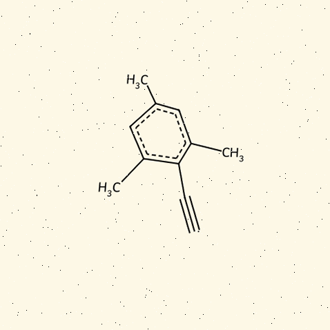 [C]#Cc1c(C)cc(C)cc1C